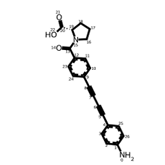 Nc1ccc(C#CC#Cc2ccc(C(=O)N3CCC[C@H]3C(=O)O)cc2)cc1